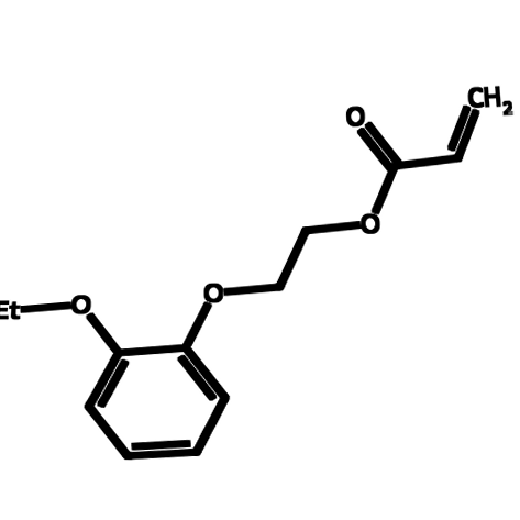 C=CC(=O)OCCOc1ccccc1OCC